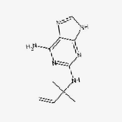 C=CC(C)(C)Nc1nc(N)c2nc[nH]c2n1